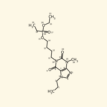 CCCn1cnc2c1c(=O)n(CCCCOP(=O)(CC)OCC)c(=O)n2C